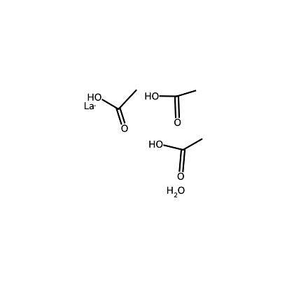 CC(=O)O.CC(=O)O.CC(=O)O.O.[La]